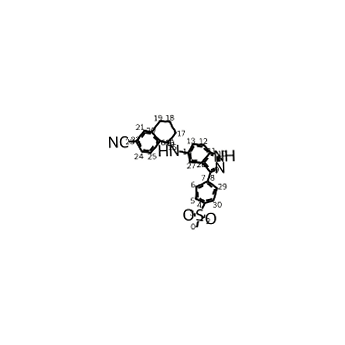 CS(=O)(=O)c1ccc(-c2n[nH]c3ccc(N[C@H]4CCCc5cc(C#N)ccc54)cc23)cc1